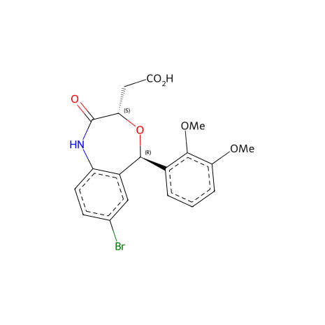 COc1cccc([C@@H]2O[C@@H](CC(=O)O)C(=O)Nc3ccc(Br)cc32)c1OC